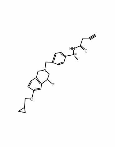 C#CCC(=O)N[C@@H](C)c1ccc(CN2Cc3ccc(OCC4CC4)cc3C(F)C2)cc1